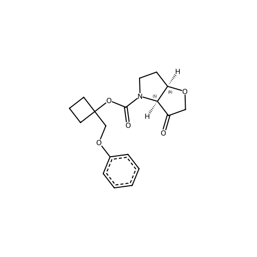 O=C1CO[C@@H]2CCN(C(=O)OC3(COc4ccccc4)CCC3)[C@H]12